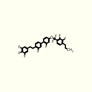 CCCc1ccc(C(F)(F)Oc2ccc(-c3ccc(CCc4cc(F)c(F)c(F)c4)c(F)c3)c(F)c2)c(F)c1F